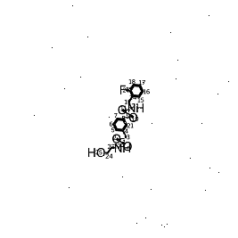 O=S(=O)(Cc1cccc(S(=O)(=O)NCc2ccccc2F)c1)NCCO